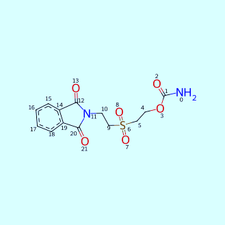 NC(=O)OCCS(=O)(=O)CCN1C(=O)c2ccccc2C1=O